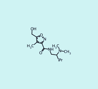 Cc1c(C(=O)NCC(C(C)C)N(C)C)noc1CO